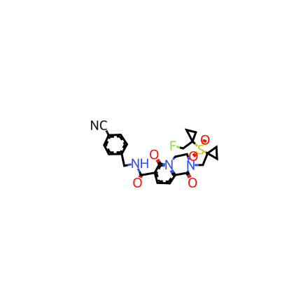 N#Cc1ccc(CNC(=O)c2ccc3n(c2=O)CCN(CC2(S(=O)(=O)C4(CF)CC4)CC2)C3=O)cc1